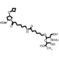 CC(=O)N[C@@H](CO)C(OCCCCCC(=O)NCCCCCC(=O)N1C[C@H](OC2CCC2)C[C@H]1CO)OC(CO)[C@@H](C)O